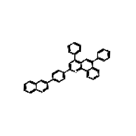 c1ccc(-c2cc3c(-c4ccccc4)cc(-c4ccc(-c5cnc6ccccc6c5)cc4)nc3c3ccccc23)cc1